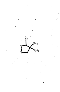 CCC1CCCC1(OC(C)=O)OC(C)=O